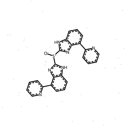 [O-][S+](c1nc2c(-c3ccccn3)cccc2[nH]1)c1nc2c(-c3ccccn3)cccc2[nH]1